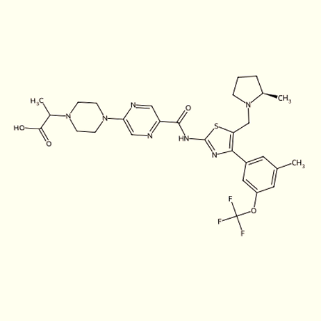 Cc1cc(OC(F)(F)F)cc(-c2nc(NC(=O)c3cnc(N4CCN(C(C)C(=O)O)CC4)cn3)sc2CN2CCC[C@H]2C)c1